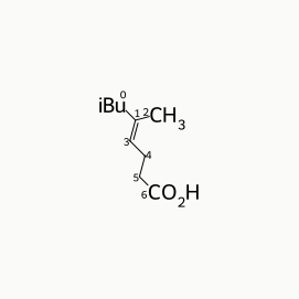 CCC(C)/C(C)=C/CCC(=O)O